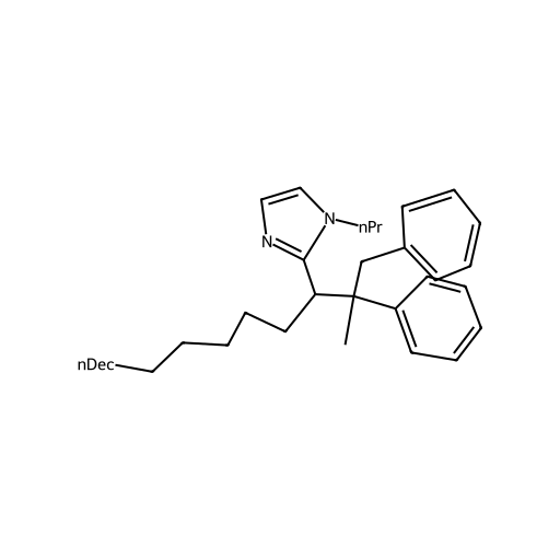 CCCCCCCCCCCCCCCC(c1nccn1CCC)C(C)(Cc1ccccc1)c1ccccc1